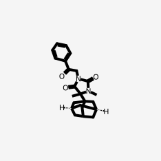 CN1C(=O)N(CC(=O)c2ccccc2)C(=O)C1(C)C12CC3C[C@H](C1)C[C@@H](C3)C2